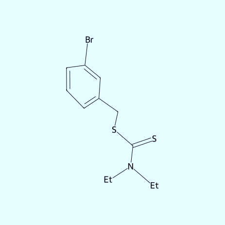 CCN(CC)C(=S)SCc1cccc(Br)c1